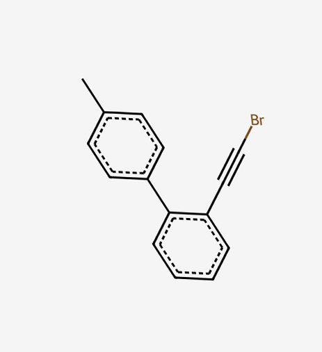 Cc1ccc(-c2ccccc2C#CBr)cc1